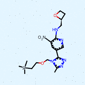 Cc1nnc(-c2cnc(NC[C@@H]3CCO3)c([N+](=O)[O-])c2)n1COCC[Si](C)(C)C